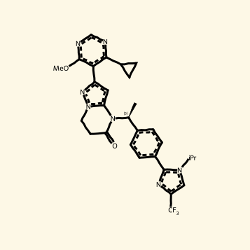 COc1ncnc(C2CC2)c1-c1cc2n(n1)CCC(=O)N2[C@@H](C)c1ccc(-c2nc(C(F)(F)F)cn2C(C)C)cc1